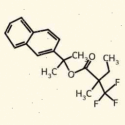 CCC(C)(C(=O)OC(C)(C)c1ccc2ccccc2c1)C(F)(F)F